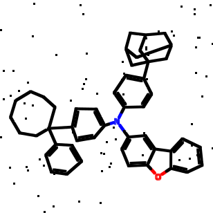 c1ccc(C2(c3ccc(N(c4ccc(C56CC7CC(CC(C7)C5)C6)cc4)c4ccc5oc6ccccc6c5c4)cc3)CCCCCCC2)cc1